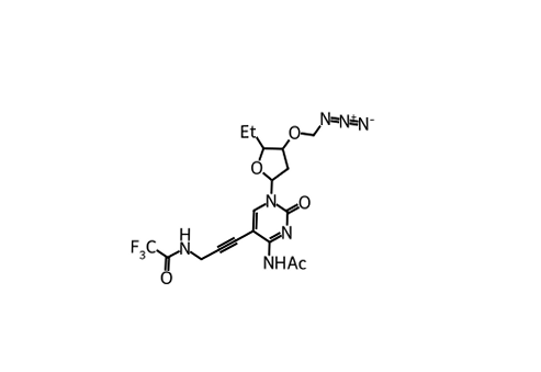 CCC1OC(n2cc(C#CCNC(=O)C(F)(F)F)c(NC(C)=O)nc2=O)CC1OCN=[N+]=[N-]